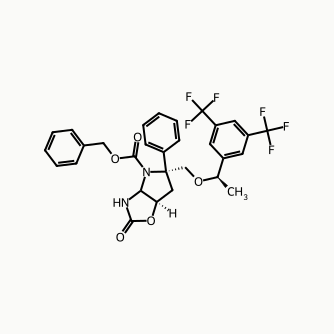 C[C@@H](OC[C@]1(c2ccccc2)C[C@H]2OC(=O)NC2N1C(=O)OCc1ccccc1)c1cc(C(F)(F)F)cc(C(F)(F)F)c1